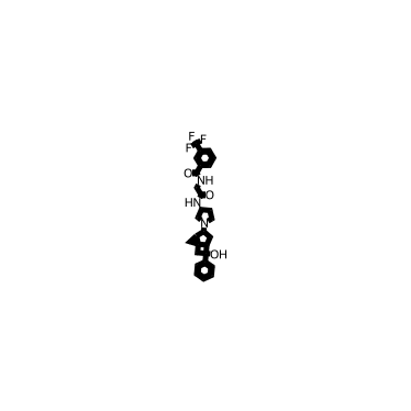 O=C(CNC(=O)c1cccc(C(F)(F)F)c1)N[C@@H]1CCN(C2CC3C(O)(c4ccccc4)CC34CC24)C1